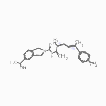 C=C(NC(=O)N1Cc2ccc(C(C)O)cc2C1)/C(N)=C\C=C(/C)c1ccc(P)cc1